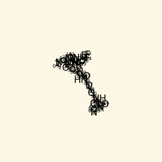 CC(C)N(C)[C@@H]1CC[C@H](N2CC[C@H](Nc3ncnc4ccc(C(F)(F)F)cc34)C2=O)[C@H](NC(=O)[C@H]2CC[C@H](c3ccc(C(=O)NCCOCCOCCNC(=O)[C@H]4CC(=O)N(C)[C@@H]4c4cccnc4)cn3)CC2)C1